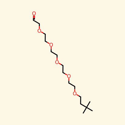 CC(C)(C)CCOCCOCCOCCOCCOCC=O